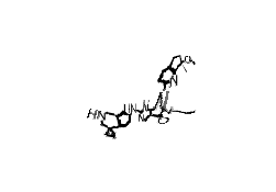 C=CCn1c(=O)c2cnc(Nc3ccc4c(c3)CNCC43CC3)nc2n1-c1ccc2c(n1)[C@@](C)(OC)CC2